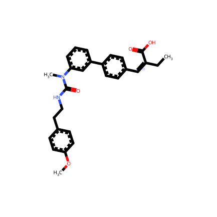 CC/C(=C/c1ccc(-c2cccc(N(C)C(=O)NCCc3ccc(OC)cc3)c2)cc1)C(=O)O